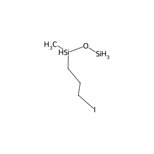 C[SiH](CCCI)O[SiH3]